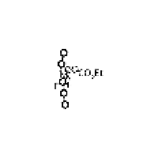 CCOC(=O)C1CCC(Oc2nc3c(F)c(-c4ccc(-c5ccccc5)cc4)c(F)cc3n2Cc2ccc(-c3ccccc3)cc2)C1